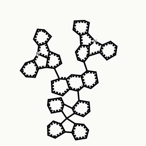 c1ccc2c(c1)-c1ccccc1C21c2ccccc2-c2c(-c3c4cccc(-c5ccc6c7ccccc7n7c8ccccc8c5c67)c4cc4c(-c5ccc6c7ccccc7n7c8ccccc8c5c67)cccc34)cccc21